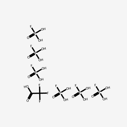 O=C(O)C(F)(F)F.O=P(O)(O)F.O=P(O)(O)F.O=P(O)(O)F.O=P(O)(O)F.O=P(O)(O)F.O=P(O)(O)F